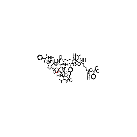 C=CC(=O)Nc1ccccc1NC(=O)CCCCC(=O)N[C@H](C(=O)N[C@@H](CCCNC(N)=O)C(=O)Nc1ccc(COC(=O)N(C)[C@H](C(=O)N[C@H](C(=O)N(C)[C@@H]([C@@H](C)CC)[C@@H](CC(=O)N2CCC[C@H]2[C@H](OC)[C@@H](C)C(=O)N[C@H](C)[C@@H](O)c2ccccc2)OC)C(C)C)C(C)C)cc1)C(C)C